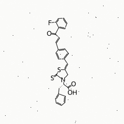 O=C(/C=C/c1ccc(/C=C2/CN([C@@H](Cc3ccccc3)C(=O)O)C(=S)S2)cc1)c1ccccc1F